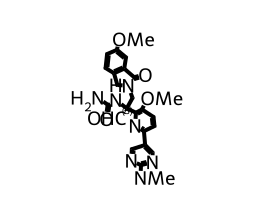 CNc1ncc(-c2ccc(OC)c([C@](C=O)(CN3Cc4ccc(OC)cc4C3=O)NC(N)=O)n2)cn1